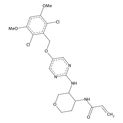 C=CC(=O)NC1CCOCC1Nc1ncc(OCc2c(Cl)c(OC)cc(OC)c2Cl)cn1